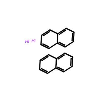 I.I.c1ccc2ccccc2c1.c1ccc2ccccc2c1